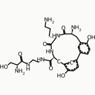 NCCC[C@@H]1NC(=O)[C@@H](N)Cc2cc(ccc2O)-c2ccc(O)c(c2)C[C@@H](C(=O)NCCNC(=O)[C@@H](N)CO)NC1=O